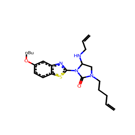 C=CCCCN1CC(NCC=C)N(c2nc3cc(OCCCC)ccc3s2)C1=O